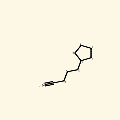 N#CCC[CH]C1CCCC1